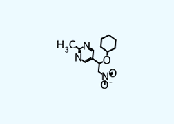 Cc1ncc(C(C[N+](=O)[O-])OC2CCCCC2)cn1